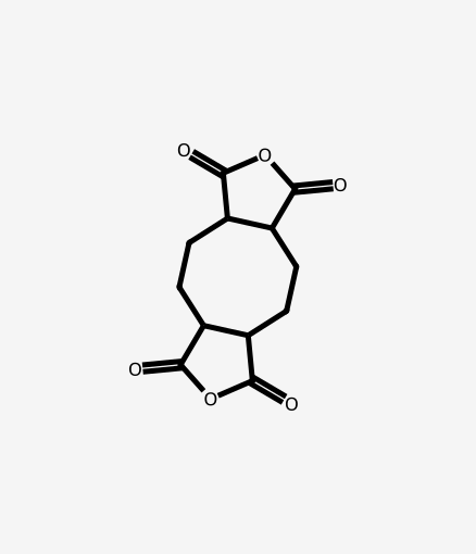 O=C1OC(=O)C2CCC3C(=O)OC(=O)C3CCC12